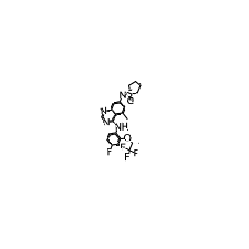 Cc1cc(N=S2(=O)CCCC2)cc2ncnc(Nc3ccc(F)cc3O[C@H](C)C(F)(F)F)c12